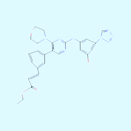 CCOC(=O)/C=C/c1cccc(-c2cnc(Nc3cc(O)cc(-n4cnnn4)c3)nc2N2CCOCC2)c1